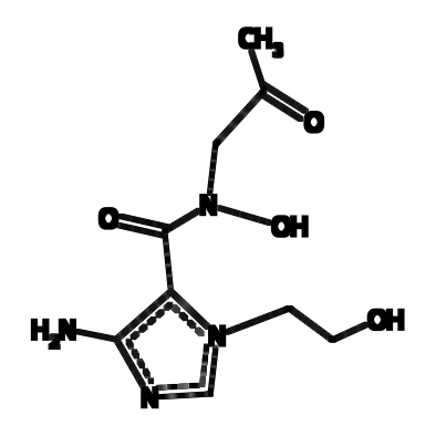 CC(=O)CN(O)C(=O)c1c(N)ncn1CCO